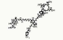 Cc1ccc(CC(=O)NCCCC[C@H](NC(=O)[C@H](CCCCNC(=S)Nc2ccc(CC3CN(CC(=O)O)CCN(CC(=O)O)CCN(CC(=O)O)CCN3CC(=O)O)cc2)NC(=O)CCCCCCCNC(=O)CC[C@H](NC(=O)N[C@@H](CCC(=O)O)C(=O)O)C(=O)O)C(=O)O)cc1